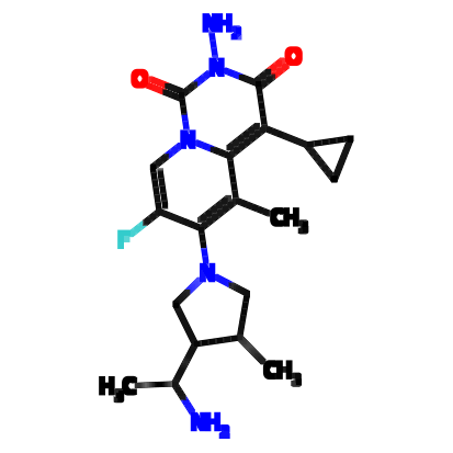 Cc1c(N2CC(C)C(C(C)N)C2)c(F)cn2c(=O)n(N)c(=O)c(C3CC3)c12